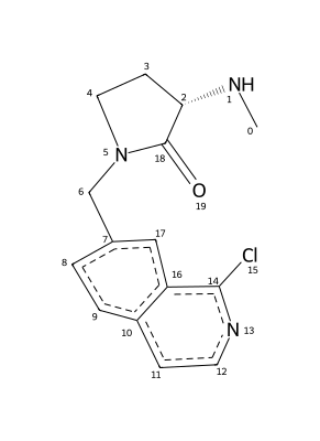 CN[C@H]1CCN(Cc2ccc3ccnc(Cl)c3c2)C1=O